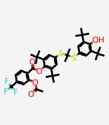 CC(=O)Oc1cc(C(F)(F)F)ccc1C(=O)Oc1c(C(C)(C)C)cc(SC(C)(C)Sc2cc(C(C)(C)C)c(O)c(C(C)(C)C)c2)cc1C(C)(C)C